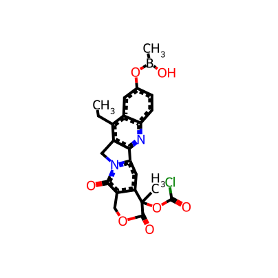 CCc1c2c(nc3ccc(OB(C)O)cc13)-c1cc3c(c(=O)n1C2)COC(=O)C3(C)OC(=O)Cl